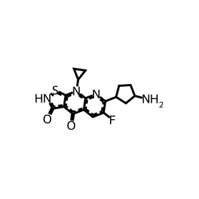 NC1CCC(c2nc3c(cc2F)c(=O)c2c(=O)[nH]sc2n3C2CC2)C1